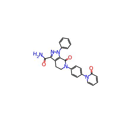 NC(=O)c1nn(-c2ccccc2)c2c1CCN(c1ccc(-n3ccccc3=O)cc1)C2=O